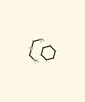 C1CCCCC1.N[CH2][Pt][CH2]N